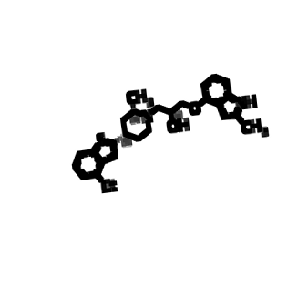 CCc1cccc2sc([C@H]3CCN(C[C@H](O)COc4cccc5[nH]c(C)cc45)[C@@H](C)C3)cc12